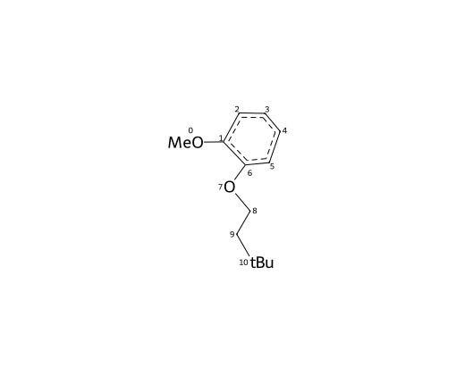 COc1ccccc1OCCC(C)(C)C